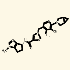 Cc1c(Cn2cnc(C(=O)N[C@@H]3CCc4c3ncn4C)c2)cnc(N2CC3CC3C2)c1C#N